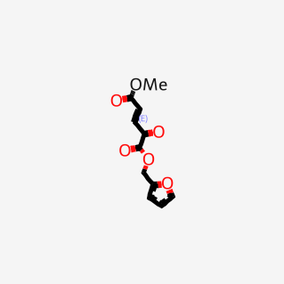 COC(=O)/C=C/C(=O)C(=O)OCc1ccco1